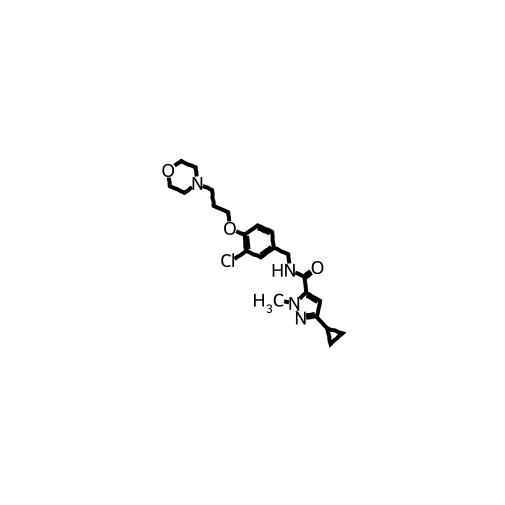 Cn1nc(C2CC2)cc1C(=O)NCc1ccc(OCCCN2CCOCC2)c(Cl)c1